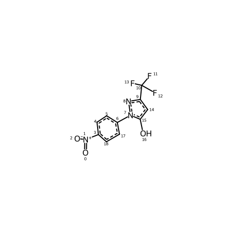 O=[N+]([O-])c1ccc(-n2nc(C(F)(F)F)cc2O)cc1